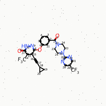 O=C(c1cccc(Oc2n[nH]c(=O)c(C(F)(F)F)c2C#CC2CC2)c1)N1CCN(c2ncc(C(F)(F)F)cn2)CC1